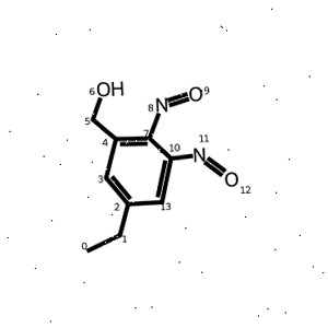 CCc1cc(CO)c(N=O)c(N=O)c1